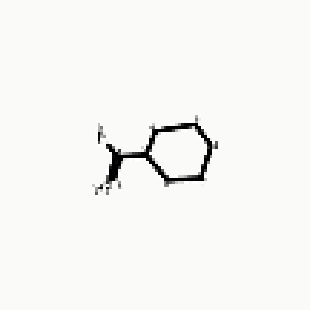 FC(=P)C1CCCCC1